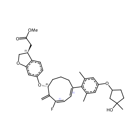 C=C1/C(F)=C\C=C(\c2c(C)cc(OC3CCC(C)(O)C3)cc2C)CCC[C@H]1Oc1ccc2c(c1)OC[C@H]2CC(=O)OC